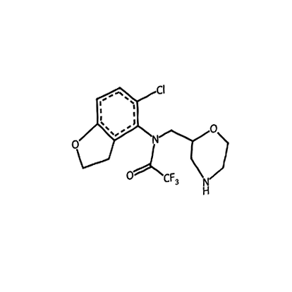 O=C(N(CC1CNCCO1)c1c(Cl)ccc2c1CCO2)C(F)(F)F